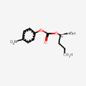 CCCCCCCC[C@@H](CCC(=O)O)OC(=O)Oc1ccc([N+](=O)[O-])cc1